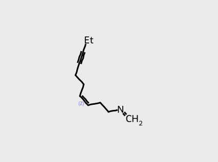 C=NCC/C=C\CCC#CCC